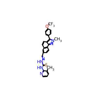 Cc1cccnc1NC(=S)N/N=C/c1ccc2c(ccc3c(-c4ccc(OC(F)(F)F)cc4)n(C)nc32)c1